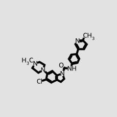 Cc1ccc(-c2ccc(NC(=O)N3CCc4cc(Cl)c(N5CCN(C)CC5)cc43)cc2)cn1